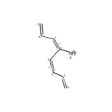 C=C/C=C\C(=C/C=C)CCC